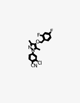 Cc1nn(-c2ccc(C#N)c(Cl)c2)c(C)c1OCc1ccc(F)cc1F